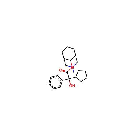 CN1CC2CCCC(C1)C2OC(=O)C(O)(c1ccccc1)C1CCCC1